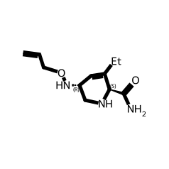 C=CCON[C@@H]1C=C(CC)[C@@H](C(N)=O)NC1